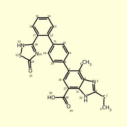 CSc1nc2c(C)c(-c3ccc(-c4ccccc4-c4nc(=O)s[nH]4)cc3)cc(C(=O)O)c2[nH]1